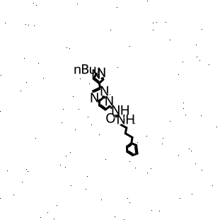 CCCCn1cc(-c2cnc3ccc(NC(=O)NCCCCc4ccccc4)nc3n2)cn1